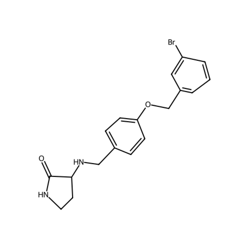 O=C1NCCC1NCc1ccc(OCc2cccc(Br)c2)cc1